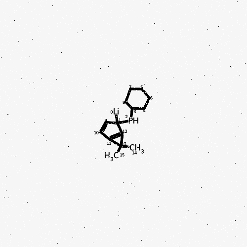 [Li][C]1(PC2CCCCC2)C=CC2=C1C2(C)C